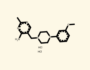 COc1cccc(N2CCN(Cc3cnc(C)nc3N)CC2)c1.Cl.Cl